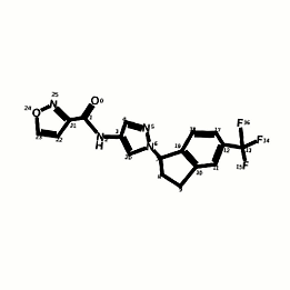 O=C(Nc1cnn(C2CCc3cc(C(F)(F)F)ccc32)c1)c1ccon1